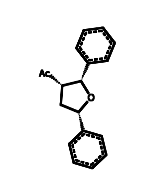 CC(=O)[C@H]1C[C@@H](c2ccccc2)O[C@H]1c1ccccc1